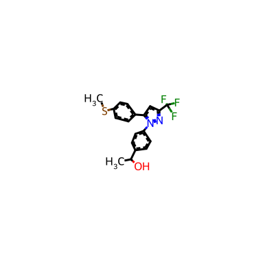 CSc1ccc(-c2cc(C(F)(F)F)nn2-c2ccc(C(C)O)cc2)cc1